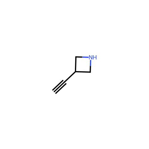 C#CC1CNC1